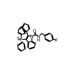 O=C(NCc1ccc(F)cc1)n1c(-c2ccccc2)c(P(=S)(c2ccccc2)c2ccccc2)c2ccccc21